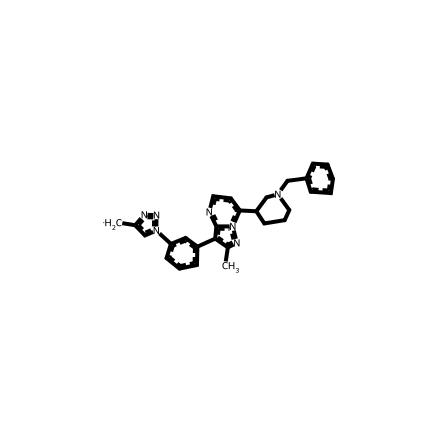 [CH2]c1cn(-c2cccc(-c3c(C)nn4c(C5CCCN(Cc6ccccc6)C5)ccnc34)c2)nn1